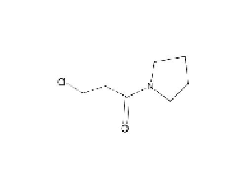 O=C(CCCl)N1CCCC1